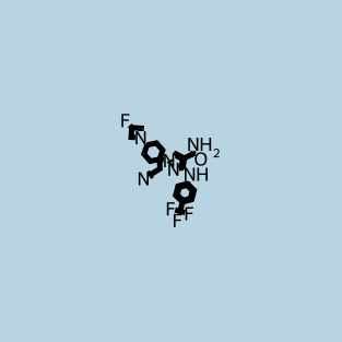 N#CCC1(n2cc(C(N)=O)c(Nc3ccc(C(F)(F)F)cc3)n2)CCC(N2CC(F)C2)CC1